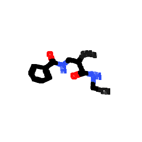 CSC(CNC(=O)c1ccccc1)C(=O)NCC#N